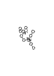 CC1Cc2ccccc2C2=C1N=C(c1cccc(-c3cccc(-c4cc(-c5ccc(-c6ccccc6)cc5)nc(-c5ccc(-c6ccccc6)cc5)n4)c3)c1)C1OC3(C)CC=CC=C3C21C